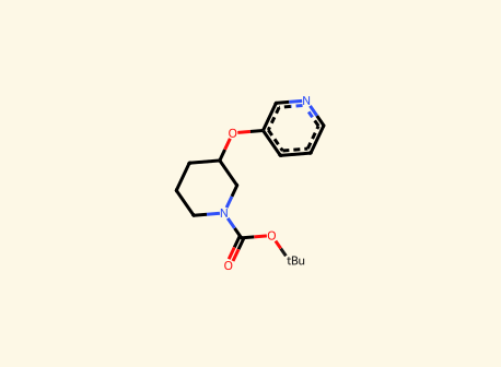 CC(C)(C)OC(=O)N1CCCC(Oc2cccnc2)C1